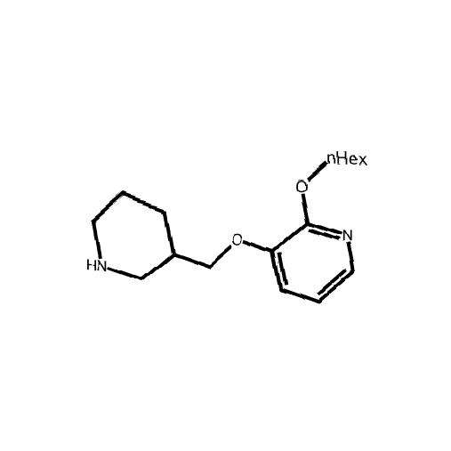 CCCCCCOc1ncccc1OCC1CCCNC1